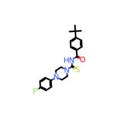 CC(C)(C)c1ccc(C(=O)NC(=S)N2CCN(c3ccc(F)cc3)CC2)cc1